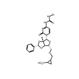 CCNC(=O)Nc1ccn([C@@H]2O[C@H](COCC3CC3C(=O)O)C3O[C@H](c4ccccc4)O[C@@H]32)c(=O)n1